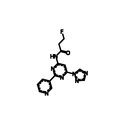 O=C(CCF)Nc1cc(-n2cncn2)nc(-c2cccnc2)n1